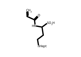 C=CC(=O)NC(CCCCCCCCC)S(=O)(=O)O